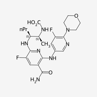 CCC[C@H](Nc1nc(Nc2cnc(N3CCOCC3)c(F)c2)c(C(N)=O)cc1F)[C@H](C)NC(=O)O